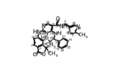 Cc1cnc(CNC(=O)c2cnc(Nc3ccc4c(c3)C(C)(C)OC4=O)nc2N[C@H](CO)c2ccccc2)cn1